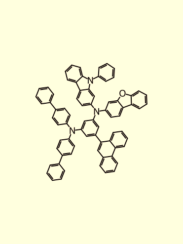 c1ccc(-c2ccc(N(c3ccc(-c4ccccc4)cc3)c3cc(-c4cc5ccccc5c5ccccc45)cc(N(c4ccc5c(c4)oc4ccccc45)c4ccc5c6ccccc6n(-c6ccccc6)c5c4)c3)cc2)cc1